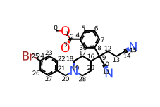 COC(=O)c1cccc(C(C#N)(CCC#N)C2CCN(Cc3ccc(Br)cc3)CC2)c1